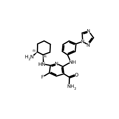 NC(=O)c1cc(F)c(N[C@@H]2CCCC[C@@H]2N)nc1Nc1cccc(-n2cncn2)c1